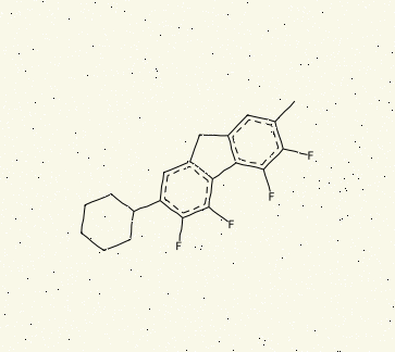 Cc1cc2c(c(F)c1F)-c1c(cc(C3CCCCC3)c(F)c1F)C2